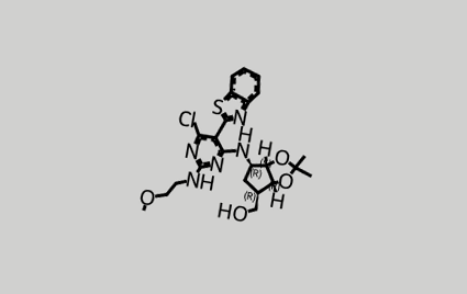 COCCNc1nc(Cl)c(-c2nc3ccccc3s2)c(N[C@@H]2C[C@H](CO)[C@H]3OC(C)(C)O[C@H]32)n1